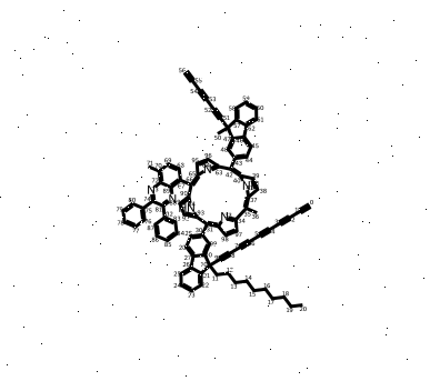 C#CC#CC#CC#CC#CC1(CCCCCCCCCC)c2ccccc2-c2ccc(-c3c4nc(c(C)c5ccc([nH]5)c(-c5ccc6c(c5)C(C)(C#CC#CC#C)c5ccccc5-6)c5nc(c(-c6ccc(C)c7nc(-c8ccccc8)c(-c8ccccc8)nc67)c6ccc3[nH]6)C=C5)C=C4)cc21